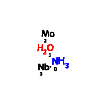 N.O.[Mo].[Nb]